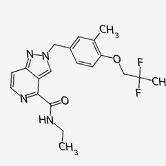 CCNC(=O)c1nccc2nn(Cc3ccc(OCC(C)(F)F)c(C)c3)cc12